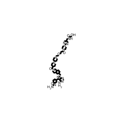 Nc1nc2cc(-c3nn(Cc4ccc5c(c4)CCN(C(=O)C4CCN(C6CCN(CCOCCC(=O)N7CCN(c8ncc(CNC(=O)CO)cn8)CC7)CC6)CC4)C5)c4ncnc(N)c34)ccc2o1